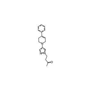 CC(=O)CCn1cc(N2CC=C(c3ccccc3)CC2)cn1